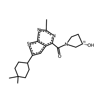 Cc1nc(C(=O)N2CC[C@H](O)C2)c2cc(C3CCC(C)(C)CC3)sc2n1